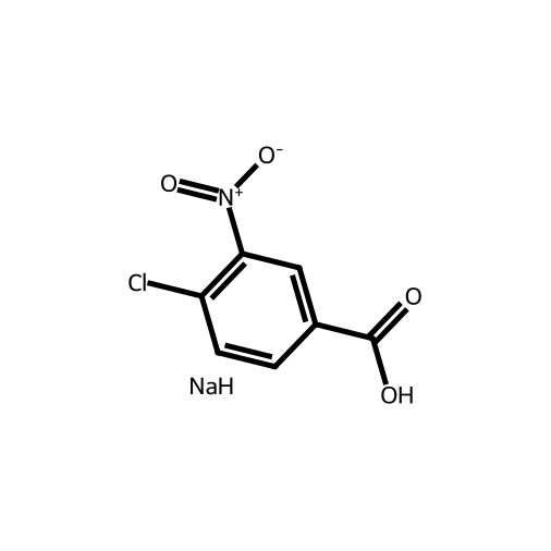 O=C(O)c1ccc(Cl)c([N+](=O)[O-])c1.[NaH]